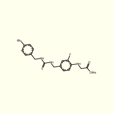 COC(=O)CNc1ccc(CNC(=S)NCc2ccc(C(C)(C)C)cc2)cc1F